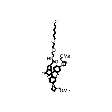 COC[C@H]1CCN1c1ccc2c(c1)Oc1cc(N3CC[C@@H]3COC)ccc1C21C(=N)C(=O)c2ccc(C(=O)NCCOCCOCCCCCCCl)cc21